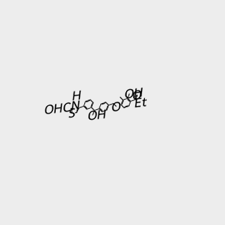 CCC(=O)c1ccc(OCc2ccc(C(O)c3cccc(C4=CSC(C=O)N4)c3)cc2)c(C)c1O